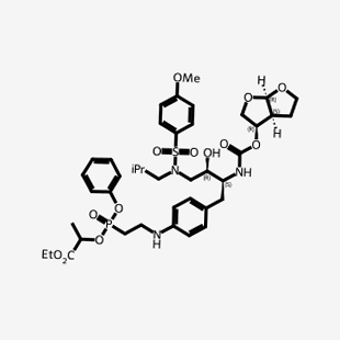 CCOC(=O)C(C)OP(=O)(CCNc1ccc(C[C@H](NC(=O)O[C@H]2CO[C@H]3OCC[C@H]32)[C@H](O)CN(CC(C)C)S(=O)(=O)c2ccc(OC)cc2)cc1)Oc1ccccc1